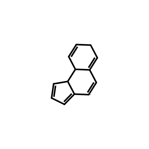 [C]1=CC2=CCC=CC2C2C=CC=C12